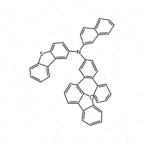 c1ccc(-c2ccc(N(c3ccc4ccccc4c3)c3ccc4sc5ccccc5c4c3)cc2-c2cccc3c2oc2ccccc23)cc1